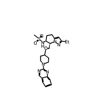 CCc1cc2n(n1)[C@@H](COC1CCN(c3ncc4ccccc4n3)CC1)[C@@H](NS(C)(=O)=O)CC2